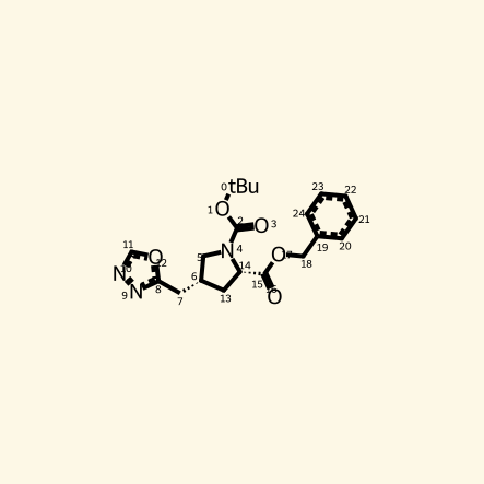 CC(C)(C)OC(=O)N1C[C@@H](Cc2nnco2)C[C@H]1C(=O)OCc1ccccc1